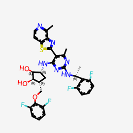 Cc1nc(N[C@H](C)c2c(F)cccc2F)nc(N[C@@H]2C[C@H](COc3c(F)cccc3F)[C@@H](O)[C@H]2O)c1-c1nc2c(C)nccc2s1